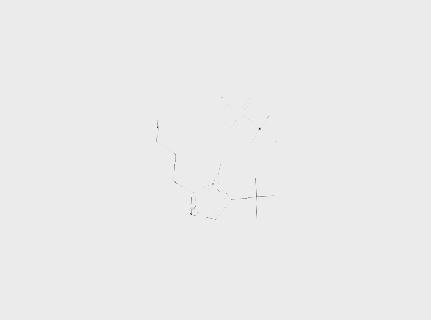 CCCC[n+]1ccc(C(F)(F)F)n1C.O=S(=O)([O-])C(F)(F)F